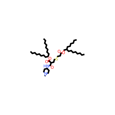 CCCCCCCCC(CCCCCC)COC(=O)CCSCCC(C(=O)NC1CCN(C)CC1)C(=O)OC(CCCCCCCC)CCCCCCCC